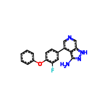 Nc1n[nH]c2cncc(-c3ccc(Oc4ccccc4)c(F)c3)c12